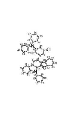 Clc1cc(-c2cc3c4ccccc4n(-c4ccccc4)c3c3oc4ccccc4c23)cc(N(c2ccccc2)c2ccccc2)c1